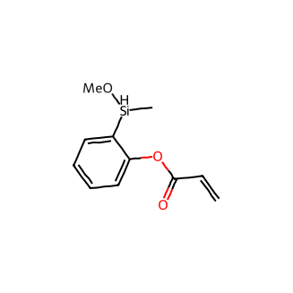 C=CC(=O)Oc1ccccc1[SiH](C)OC